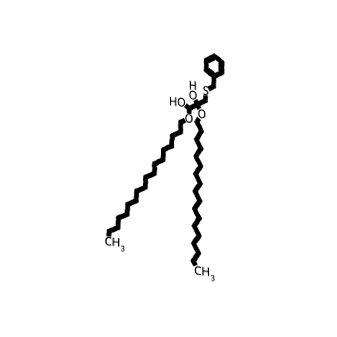 CCCCCCCCCCCCCCCCCCOC(O)C(O)(CSCc1ccccc1)OCCCCCCCCCCCCCCCCCC